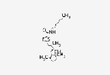 CCCCCCCNC(=O)c1ccc(C=C(C)C=CC2=C(C)CCCC2(C)C)s1